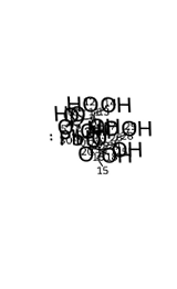 CCC(O)(C(=O)[O-])C(O)C(O)C(O)CO.CCC(O)(C(=O)[O-])C(O)C(O)C(O)CO.[Pb+2]